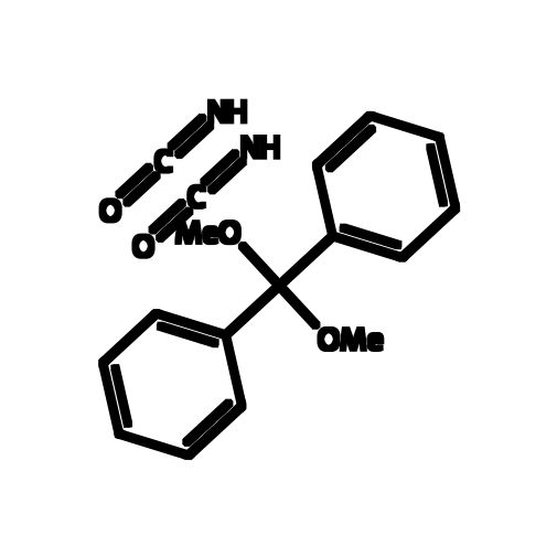 COC(OC)(c1ccccc1)c1ccccc1.N=C=O.N=C=O